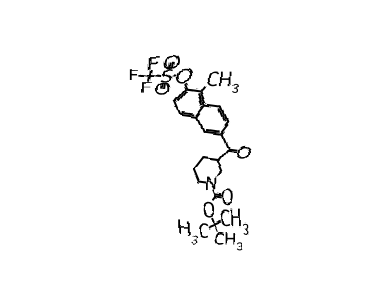 Cc1c(OS(=O)(=O)C(F)(F)F)ccc2cc(C(=O)C3CCCN(C(=O)OC(C)(C)C)C3)ccc12